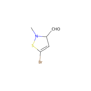 CN1SC(Br)=CC1C=O